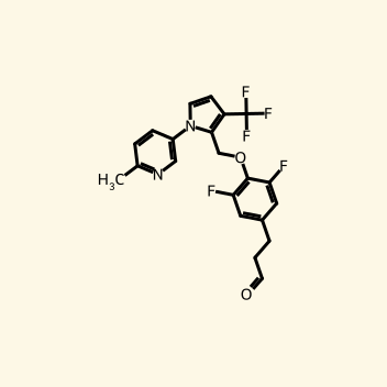 Cc1ccc(-n2ccc(C(F)(F)F)c2COc2c(F)cc(CCC=O)cc2F)cn1